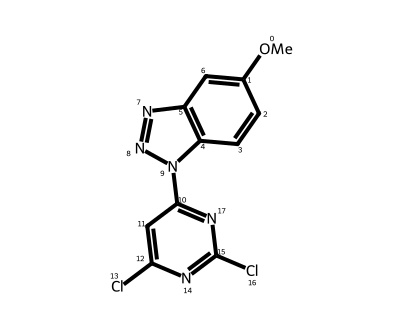 COc1ccc2c(c1)nnn2-c1cc(Cl)nc(Cl)n1